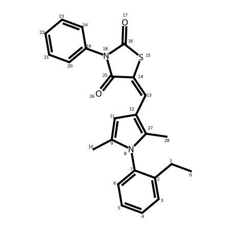 CCc1ccccc1-n1c(C)cc(C=C2SC(=O)N(c3ccccc3)C2=O)c1C